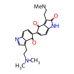 CNCCC1=C2C(=O)C(C3=CC=C4N=CC(CCN(C)C)=C4C3=O)=CC=C2NC1=O